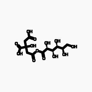 O=C(O)CC(O)(CC(=O)OC(=O)[C@H](O)[C@@H](O)[C@H](O)[C@H](O)CO)C(=O)O